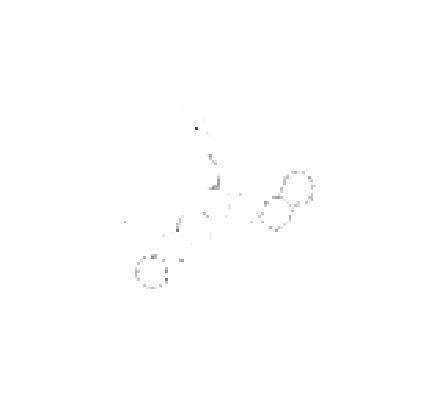 CC(=O)NNC(=O)[C@@H](Cc1ccccc1)N(C)C(=O)[C@@H](Cc1ccc2ccccc2c1)N(C)C(=O)C=CCC(C)(C)N